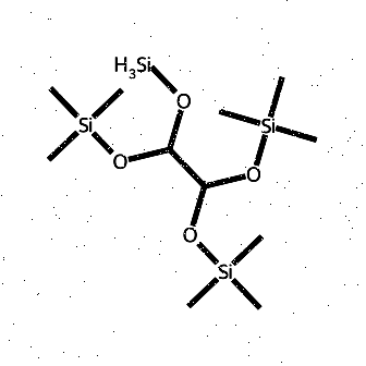 C[Si](C)(C)O[C](O[Si](C)(C)C)C(O[SiH3])O[Si](C)(C)C